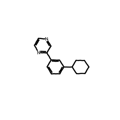 c1cc(-c2cnccn2)cc(C2CCCCC2)c1